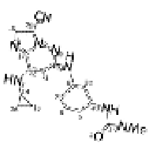 CNC(=O)Nc1cccc(Nc2cc(NC3CC3)c3ncc(C#N)n3n2)c1